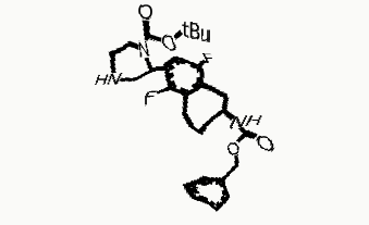 CC(C)(C)OC(=O)N1CCNCC1c1cc(F)c2c(c1F)CCC(NC(=O)OCc1ccccc1)C2